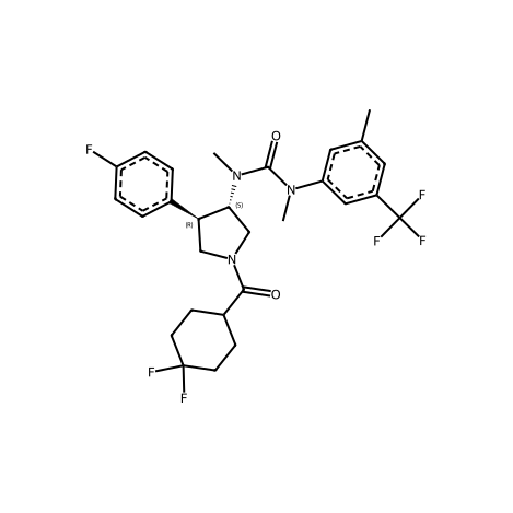 Cc1cc(N(C)C(=O)N(C)[C@@H]2CN(C(=O)C3CCC(F)(F)CC3)C[C@H]2c2ccc(F)cc2)cc(C(F)(F)F)c1